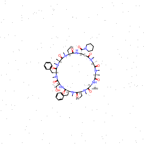 CC[C@H](C)[C@@H]1NC(=O)[C@H](C)N(C)C(=O)[C@@H](C)N(C)C(=O)C[C@@H](C(=O)N2CCCCC2)NC(=O)[C@H](CC(C)C)N(C)C(=O)[C@H](C)N(C)C(=O)[C@H](Cc2ccccc2)N(C)C(=O)[C@H]([C@@H](C)O)NC(=O)[C@H](Cc2ccccc2)N(C)C(=O)[C@H](CC(C)C)N(C)C1=O